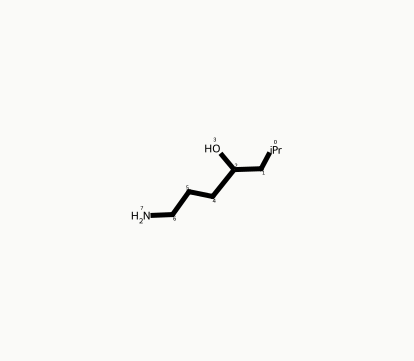 CC(C)CC(O)CCCN